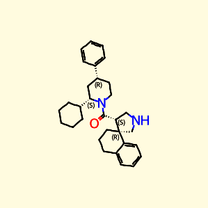 O=C([C@@H]1CNC[C@]12CCCc1ccccc12)N1CC[C@@H](c2ccccc2)C[C@H]1C1CCCCC1